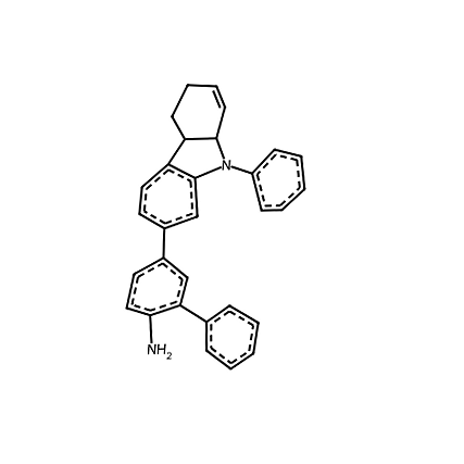 Nc1ccc(-c2ccc3c(c2)N(c2ccccc2)C2C=CCCC32)cc1-c1ccccc1